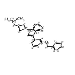 CN(C)C[C@H]1C[C@@H](n2cc(-c3cccc(OCc4ccccc4)c3)c3cncnc32)C1